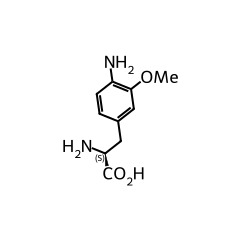 COc1cc(C[C@H](N)C(=O)O)ccc1N